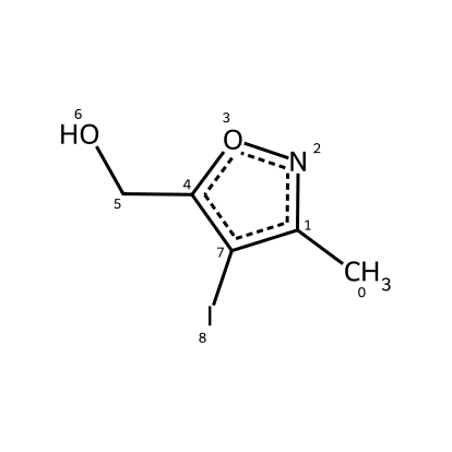 Cc1noc(CO)c1I